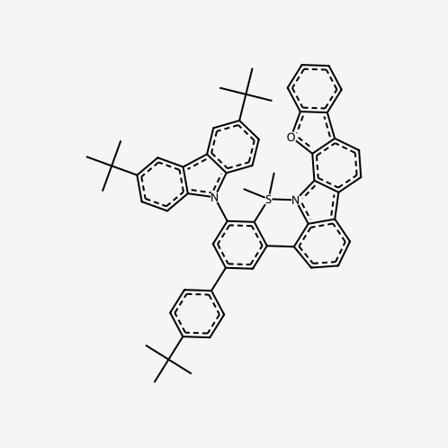 CC(C)(C)c1ccc(-c2cc3c(c(-n4c5ccc(C(C)(C)C)cc5c5cc(C(C)(C)C)ccc54)c2)S(C)(C)n2c4c-3cccc4c3ccc4c5ccccc5oc4c32)cc1